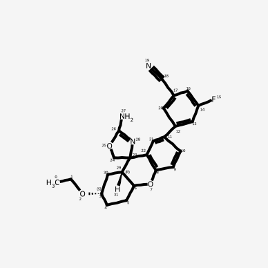 CCO[C@H]1CCC2Oc3ccc(-c4cc(F)cc(C#N)c4)cc3C3(COC(N)=N3)[C@H]2C1